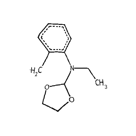 [CH2]c1ccccc1N(CC)C1OCCO1